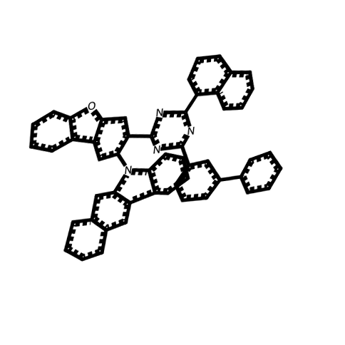 c1ccc(-c2cccc(-c3nc(-c4cc5oc6ccccc6c5cc4-n4c5ccccc5c5cc6ccccc6cc54)nc(-c4cccc5ccccc45)n3)c2)cc1